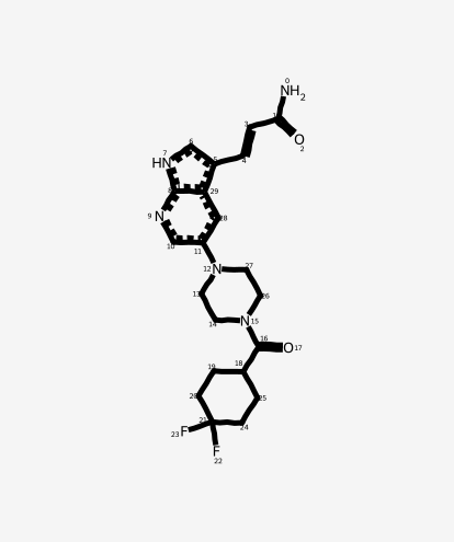 NC(=O)/C=C/c1c[nH]c2ncc(N3CCN(C(=O)C4CCC(F)(F)CC4)CC3)cc12